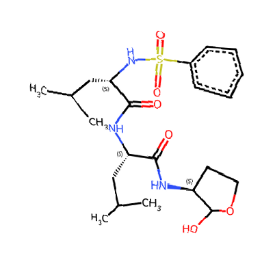 CC(C)C[C@H](NC(=O)[C@H](CC(C)C)NS(=O)(=O)c1ccccc1)C(=O)N[C@H]1CCOC1O